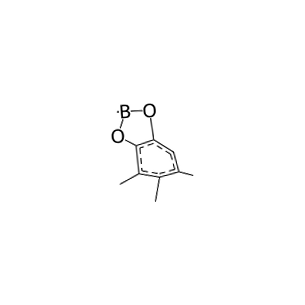 Cc1cc2c(c(C)c1C)O[B]O2